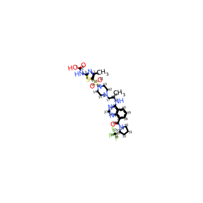 Cc1nc(NC(=O)O)sc1S(=O)(=O)N1CCN(C[C@H](C)Nc2ncnc3c(C(=O)N4CCC[C@@H]4C(F)(F)F)cccc23)CC1